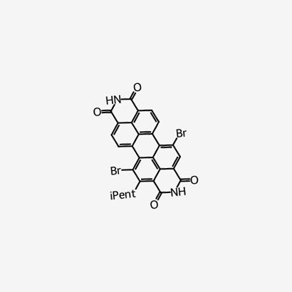 CCCC(C)c1c2c3c(cc(Br)c4c5ccc6c7c(ccc(c(c1Br)c34)c75)C(=O)NC6=O)C(=O)NC2=O